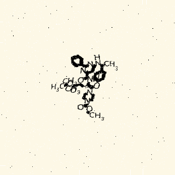 CCOC(=O)N1CCN(C(=O)[C@H](CCC(=O)OC(C)(C)C)NC(=O)c2cc(N[C@H](C)c3ccccc3)nc(-c3ccccc3)n2)CC1